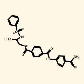 N=C(N)c1ccc(NC(=O)c2ccc(C(=O)NCC(NS(=O)(=O)c3ccccc3)C(=O)O)cc2)cc1